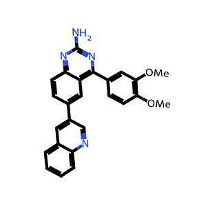 COc1ccc(-c2nc(N)nc3ccc(-c4cnc5ccccc5c4)cc23)cc1OC